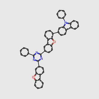 c1ccc(-c2nc(-c3ccc4c(c3)oc3ccccc34)nc(-c3ccc4oc5c(-c6ccc7c8ccccc8n(-c8ccccc8)c7c6)cccc5c4c3)n2)cc1